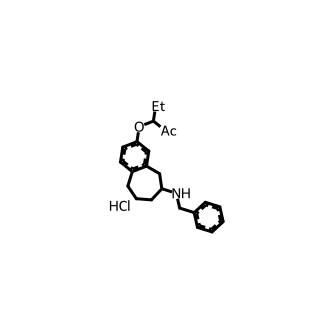 CCC(Oc1ccc2c(c1)CC(NCc1ccccc1)CCC2)C(C)=O.Cl